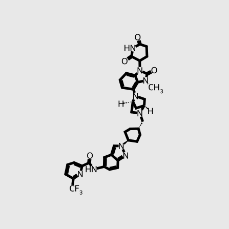 Cn1c(=O)n(C2CCC(=O)NC2=O)c2cccc(N3C[C@@H]4C[C@H]3CN4C[C@H]3CC[C@H](n4cc5cc(NC(=O)c6cccc(C(F)(F)F)n6)ccc5n4)CC3)c21